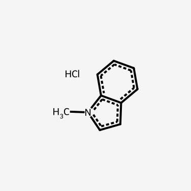 Cl.Cn1ccc2ccccc21